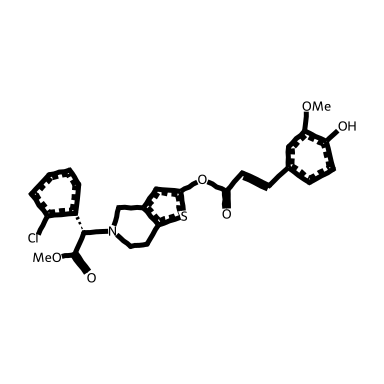 COC(=O)[C@H](c1ccccc1Cl)N1CCc2sc(OC(=O)C=Cc3ccc(O)c(OC)c3)cc2C1